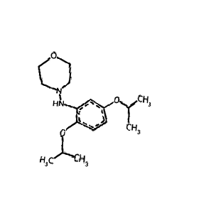 CC(C)Oc1ccc(OC(C)C)c(NN2CCOCC2)c1